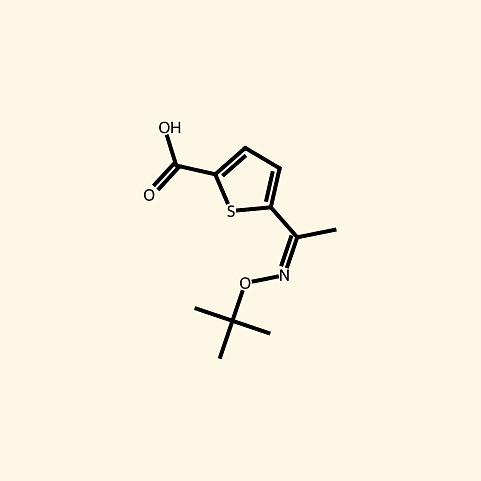 C/C(=N/OC(C)(C)C)c1ccc(C(=O)O)s1